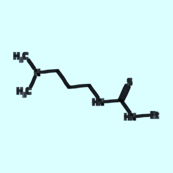 CCNC(=S)NCCCN(C)C